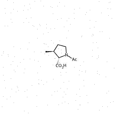 CC(=O)N1CC[C@H](C)[C@H]1C(=O)O